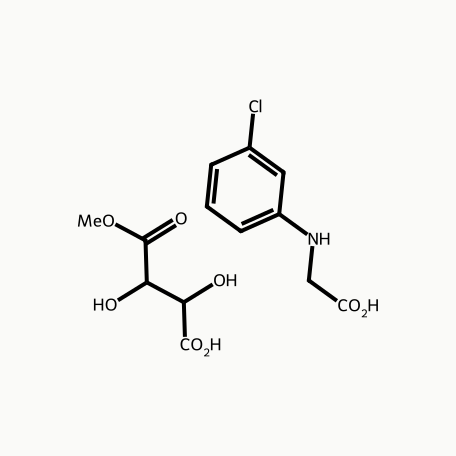 COC(=O)C(O)C(O)C(=O)O.O=C(O)CNc1cccc(Cl)c1